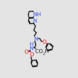 O=C(NC(CCN(CCCCc1ccc2c(n1)NCCC2)CCOc1ccccc1)C(=O)O)OCc1ccccc1